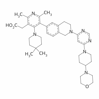 Cc1nc(C)c(-c2ccc3c(c2)CCN(c2cc(N4CCC(N5CCOCC5)CC4)ncn2)C3)c(N2CCC(C)(C)CC2)c1CC(=O)O